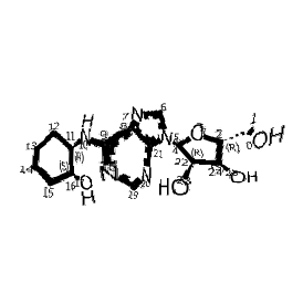 OC[C@H]1O[C@@H](n2cnc3c(N[C@@H]4CCCC[C@@H]4O)ncnc32)[C@H](O)[C@@H]1O